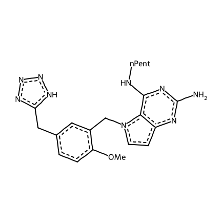 CCCCCNc1nc(N)nc2ccn(Cc3cc(Cc4nnn[nH]4)ccc3OC)c12